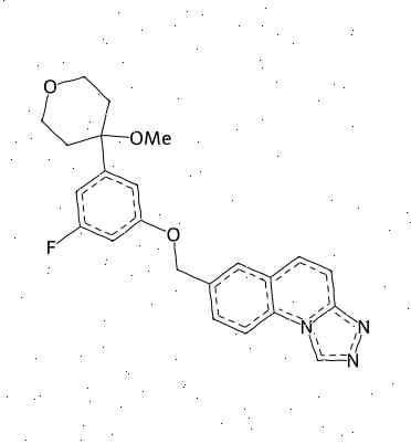 COC1(c2cc(F)cc(OCc3ccc4c(ccc5nncn54)c3)c2)CCOCC1